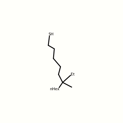 CCCCCCC(C)(CC)CCCCCS